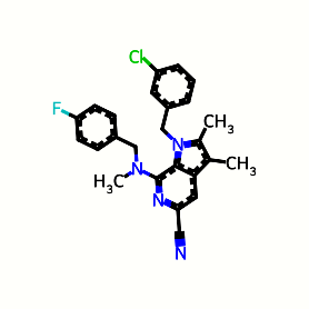 Cc1c(C)n(Cc2cccc(Cl)c2)c2c(N(C)Cc3ccc(F)cc3)nc(C#N)cc12